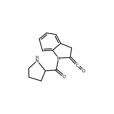 O=C=C1Cc2ccccc2N1C(=O)C1CCCN1